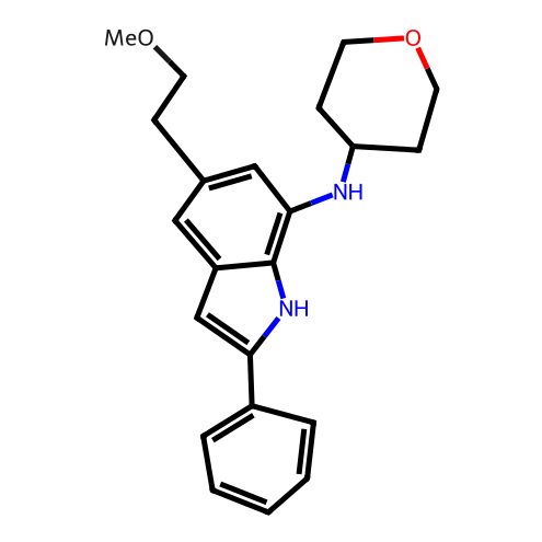 COCCc1cc(NC2CCOCC2)c2[nH]c(-c3ccccc3)cc2c1